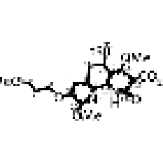 COCCCOc1cc2c(nc1OC)-c1[nH]c(=O)c(C(=O)O)c(OC)c1C(C(C)(C)C)C2